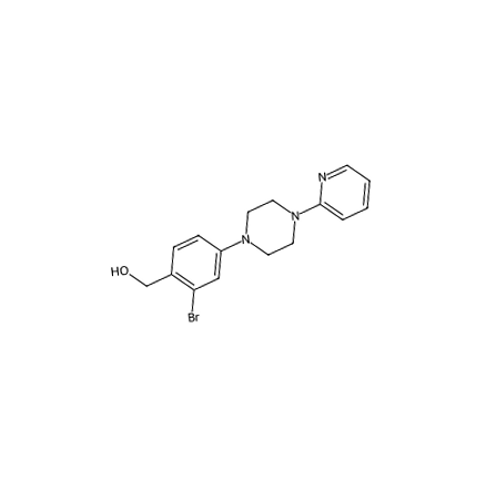 OCc1ccc(N2CCN(c3ccccn3)CC2)cc1Br